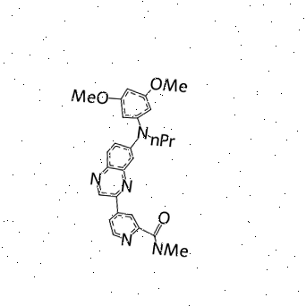 CCCN(c1cc(OC)cc(OC)c1)c1ccc2ncc(-c3ccnc(C(=O)NC)c3)nc2c1